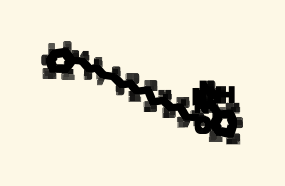 c1ccc(CCCCCCCCCCCCCCCOc2ccccc2-c2nnn[nH]2)cc1